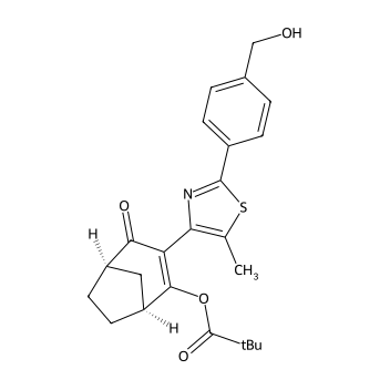 Cc1sc(-c2ccc(CO)cc2)nc1C1=C(OC(=O)C(C)(C)C)[C@H]2CC[C@H](C2)C1=O